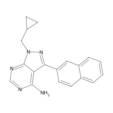 Nc1ncnc2c1c(-c1ccc3ccccc3c1)nn2CC1CC1